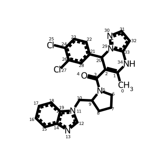 CC1=C(C(=O)N2CCCC2Cn2cnc3ccccc32)C(c2ccc(Cl)c(Cl)c2)n2nccc2N1